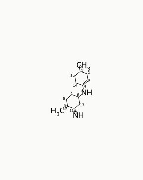 CC1CC=C(NC2CCC(C)C(=N)C2)CC1